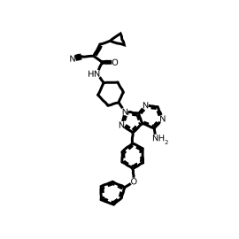 N#C/C(=C/C1CC1)C(=O)NC1CCC(n2nc(-c3ccc(Oc4ccccc4)cc3)c3c(N)ncnc32)CC1